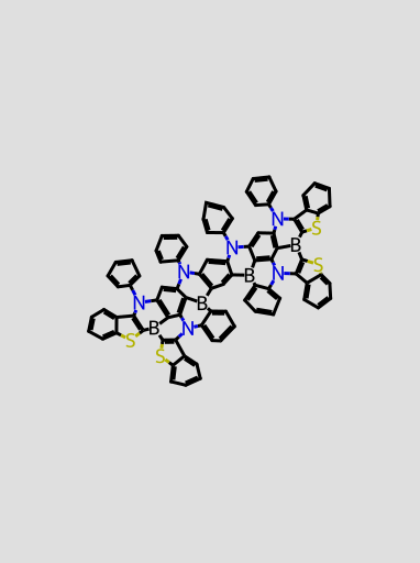 c1ccc(N2c3cc4c(cc3B3c5ccccc5N5c6c3c2cc2c6B(c3sc6ccccc6c3N2c2ccccc2)c2sc3ccccc3c25)B2c3ccccc3N3c5c2c(cc2c5B(c5sc6ccccc6c5N2c2ccccc2)c2sc5ccccc5c23)N4c2ccccc2)cc1